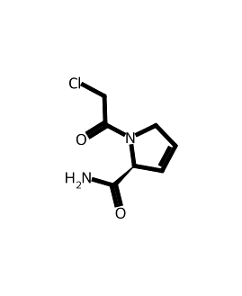 NC(=O)[C@@H]1C=CCN1C(=O)CCl